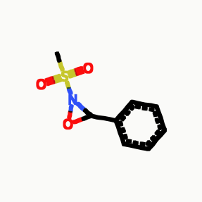 CS(=O)(=O)N1OC1c1ccccc1